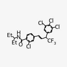 CCC(CC)NC(=O)c1ccc(/C=C/C(c2cc(Cl)c(Cl)c(Cl)c2)C(F)(F)F)cc1Cl